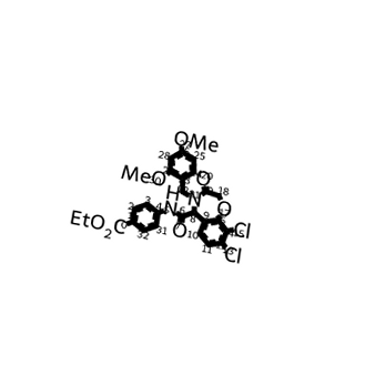 CCOC(=O)c1ccc(NC(=O)C2c3ccc(Cl)c(Cl)c3OCC(=O)N2Cc2ccc(OC)cc2OC)cc1